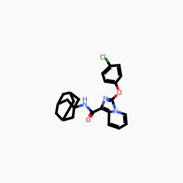 O=C(NC12CC3CC(CC(C3)C1)C2)c1nc(Oc2ccc(Cl)cc2)n2ccccc12